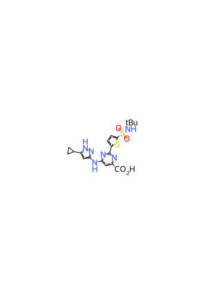 CC(C)(C)NS(=O)(=O)c1ccc(-c2nc(Nc3cc(C4CC4)[nH]n3)cc(C(=O)O)n2)s1